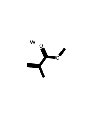 C=C(C)C(=O)OC.[W]